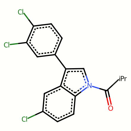 CC(C)C(=O)n1cc(-c2ccc(Cl)c(Cl)c2)c2cc(Cl)ccc21